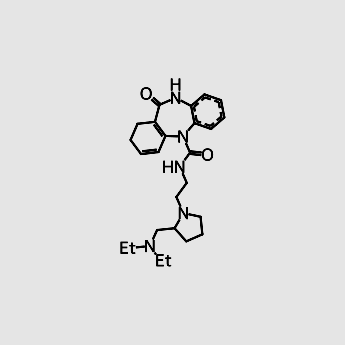 CCN(CC)CC1CCCN1CCNC(=O)N1C2=C(CCC=C2)C(=O)Nc2ccccc21